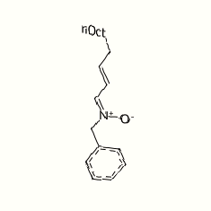 CCCCCCCCCC=CC=[N+]([O-])Cc1ccccc1